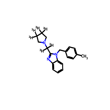 [2H]C([2H])(c1nc2ccccc2n1Cc1ccc(C)cc1)N1CC([2H])([2H])C([2H])([2H])C1